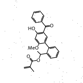 C=C(C)C(=O)OC(C)c1ccccc1-c1cc(C(=O)c2ccccc2)c(O)cc1OC